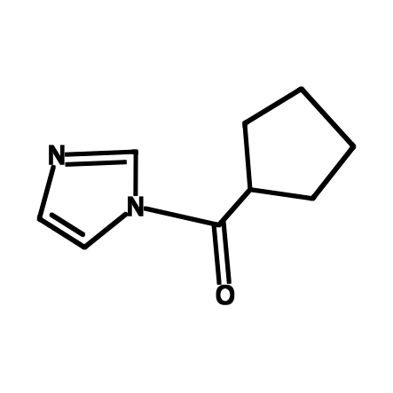 O=C(C1CCCC1)n1ccnc1